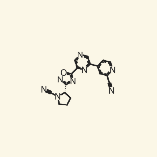 N#Cc1cc(-c2cncc(-c3nc([C@@H]4CCCN4C#N)no3)n2)ccn1